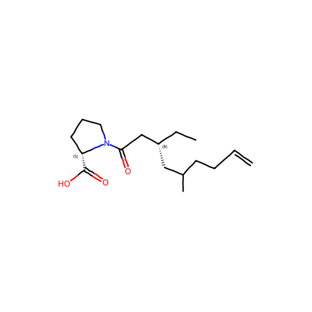 C=CCCC(C)C[C@@H](CC)CC(=O)N1CCC[C@H]1C(=O)O